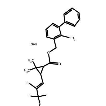 Cc1c(COC(=O)C2C(C=C(Cl)C(F)(F)F)C2(C)C)cccc1-c1ccccc1.[NaH]